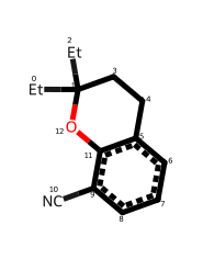 CCC1(CC)C[CH]c2cccc(C#N)c2O1